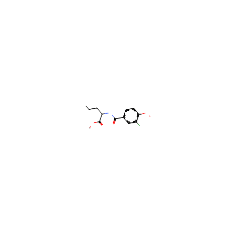 CCCC(NC(=O)c1ccc(OC)c(Cl)c1)C(=O)OC